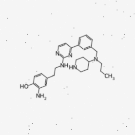 CCCN(Cc1cccc(-c2ccnc(NCCc3ccc(O)c(N)c3)n2)c1)C1CCNCC1